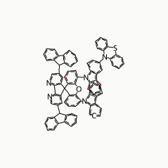 c1ccc2c(c1)Sc1ccccc1N2c1ccc2c(c1)c1ccccc1n2-c1cccc2c1Oc1c(-n3c4ccccc4c4ccccc43)cccc1C21c2cc(C3c4ccccc4-c4ccccc43)cnc2-c2ncc(C3c4ccccc4-c4ccccc43)cc21